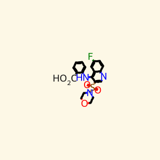 O=C(O)c1ccccc1Nc1c(S(=O)(=O)N2CCOCC2)cnc2ccc(F)cc12